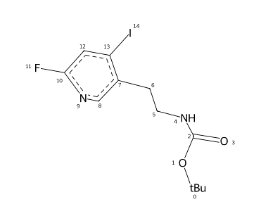 CC(C)(C)OC(=O)NCCc1cnc(F)cc1I